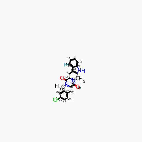 CN1C(=O)[C@H](Cc2c[nH]c3cccc(F)c23)N(C)C(=O)[C@@H]1Cc1ccc(Cl)cc1